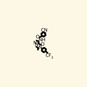 CC1Cn2ncc(NC(=O)c3cccc(C#N)c3)c2C(=O)N1c1ccc(CC(F)(F)F)cc1